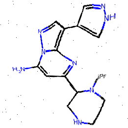 CC(C)N1CCNCC1c1cc(N)n2ncc(-c3cn[nH]c3)c2n1